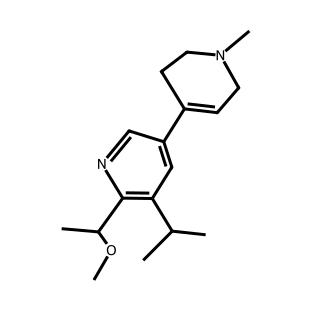 COC(C)c1ncc(C2=CCN(C)CC2)cc1C(C)C